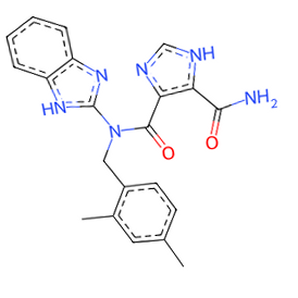 Cc1ccc(CN(C(=O)c2nc[nH]c2C(N)=O)c2nc3ccccc3[nH]2)c(C)c1